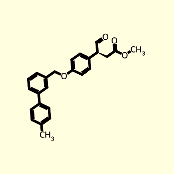 COC(=O)C[C@H](C=O)c1ccc(OCc2cccc(-c3ccc(C)cc3)c2)cc1